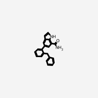 NC(=O)c1cc(-c2ccccc2Cc2ccccc2)cc2cc[nH]c12